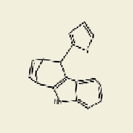 C1=CC2CC1c1[nH]c3ccccc3c1C2c1cccs1